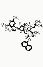 Cc1nc(N(C)C)c2ncn([C@@H]3O[C@](CCl)(CO[P@](=O)(N[C@@H](C)C(=O)OCC(C)(C)C)Oc4cccc5ccccc45)[C@@H](O)[C@H]3F)c2n1